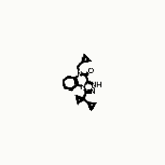 O=C1C2NN=C(C3(C4CC4)CC3)N2C2=C(CCCC2)N1CC1CC1